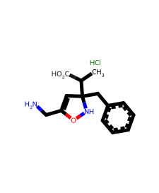 CC(C(=O)O)C1(Cc2ccccc2)C=C(CN)ON1.Cl